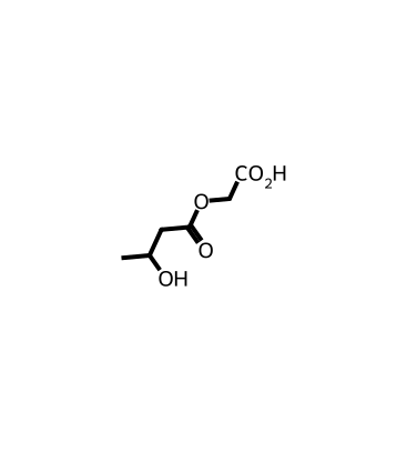 CC(O)CC(=O)OCC(=O)O